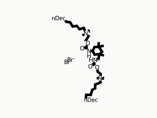 CCCCCCCCCCCCCCCC[N+](C)(C)CCOC(=O)NCC1(C)CC(NC(=O)OCC[N+](C)(C)CCCCCCCCCCCCCCCC)CC(C)(C)C1.[Br-].[Br-]